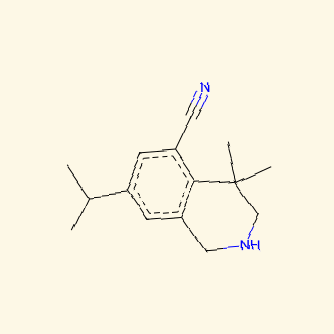 CC(C)c1cc(C#N)c2c(c1)CNCC2(C)C